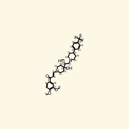 COc1ccc(C(=O)C=CN2CCC(O)(C(O)CN3CCC(c4ccc(C(F)(F)F)cc4)CC3)CC2)cc1OC